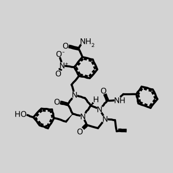 C=CCN1CC(=O)N2[C@@H](Cc3ccc(O)cc3)C(=O)N(Cc3cccc(C(N)=O)c3[N+](=O)[O-])C[C@@H]2N1C(=O)NCc1ccccc1